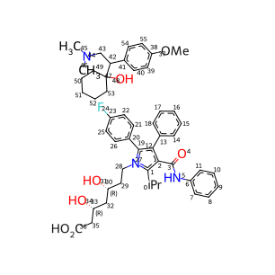 CC(C)c1c(C(=O)Nc2ccccc2)c(-c2ccccc2)c(-c2ccc(F)cc2)n1CC[C@@H](O)C[C@@H](O)CC(=O)O.COc1ccc(C(CN(C)C)C2(O)CCCCC2)cc1